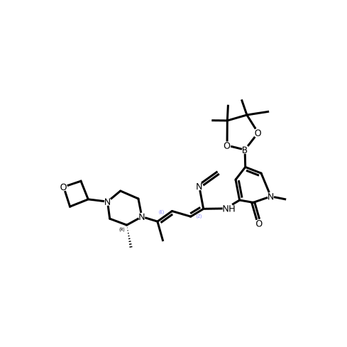 C=N/C(=C\C=C(/C)N1CCN(C2COC2)C[C@H]1C)Nc1cc(B2OC(C)(C)C(C)(C)O2)cn(C)c1=O